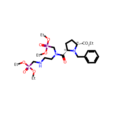 CCOC(=O)[C@H]1CC[C@@H](C(=O)N(CCNCP(=O)(OCC)OCC)CP(=O)(OCC)OCC)N1Cc1ccccc1